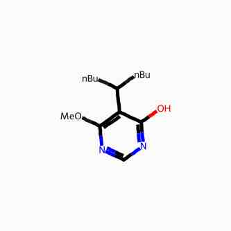 CCCCC(CCCC)c1c(O)ncnc1OC